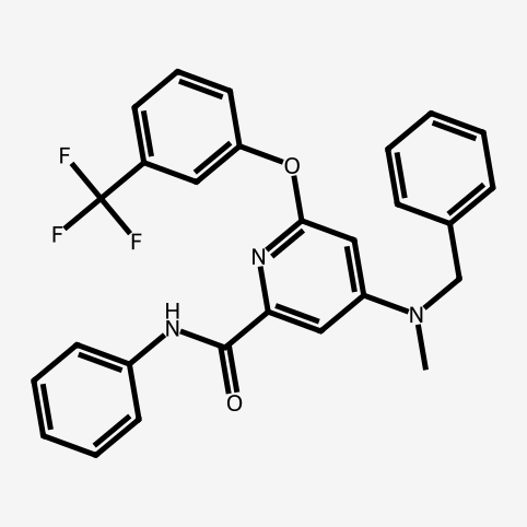 CN(Cc1ccccc1)c1cc(Oc2cccc(C(F)(F)F)c2)nc(C(=O)Nc2ccccc2)c1